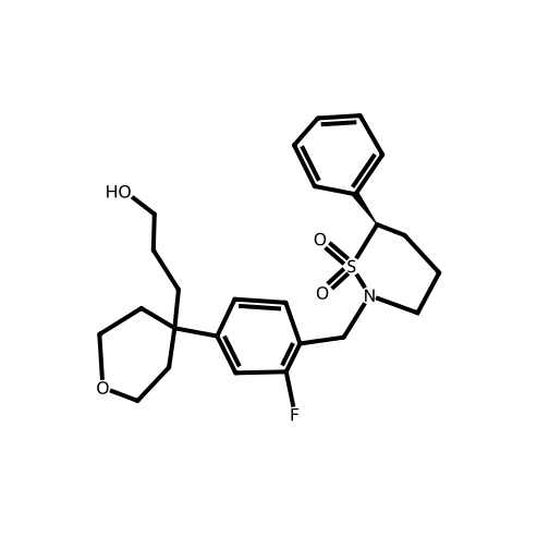 O=S1(=O)[C@@H](c2ccccc2)CCCN1Cc1ccc(C2(CCCO)CCOCC2)cc1F